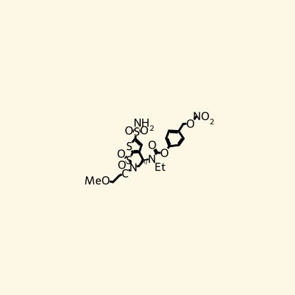 CCN(C(=O)Oc1ccc(CO[N+](=O)[O-])cc1)[C@H]1CN(CCCOC)S(=O)(=O)c2sc(S(N)(=O)=O)cc21